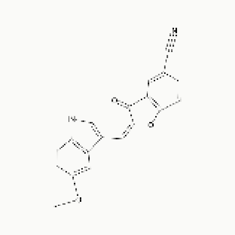 COc1ccc2[nH]cc(C=C3Oc4ccc(C#N)cc4C3=O)c2c1